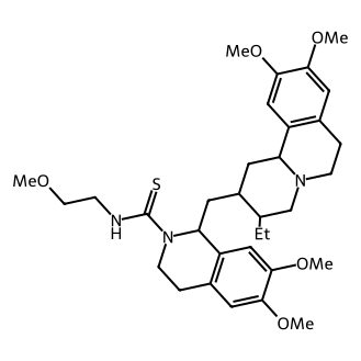 CCC1CN2CCc3cc(OC)c(OC)cc3C2CC1CC1c2cc(OC)c(OC)cc2CCN1C(=S)NCCOC